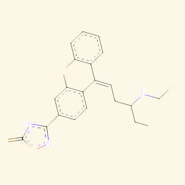 CCNC(CC)C/C=C1/c2ccccc2Oc2cc(-c3noc(=S)[nH]3)ccc21